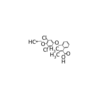 C#CCOc1c(Cl)cc(OCc2ccccc2C(C(=O)O)=C(C)C)cc1Cl